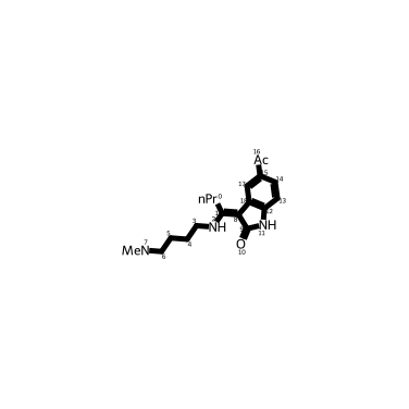 CCC/C(NCCCCNC)=C1/C(=O)Nc2ccc(C(C)=O)cc21